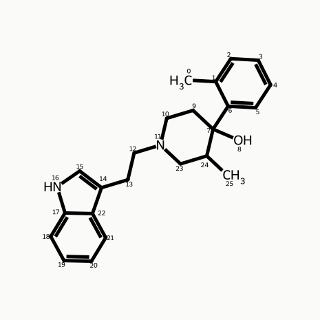 Cc1ccccc1C1(O)CCN(CCc2c[nH]c3ccccc23)CC1C